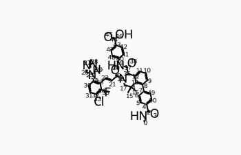 CNC(=O)c1ccc(-c2cccc3c2C(C)(C)CN(C(=O)C=Cc2c(-n4cnnn4)ccc(Cl)c2F)C3C(=O)Nc2ccc(C(=O)O)cc2)cc1